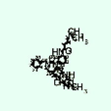 CN(C)C/C=C/C(=O)Nc1cccc(N2C(=O)N(Cc3ccccc3)CCc3cnc(Nc4cn(C)nc4Cl)nc32)c1